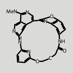 CNc1ncc2c3cc(ncc13)Nc1cccc(n1)OCCCC(=O)Nc1ccc3oc-2nc3c1